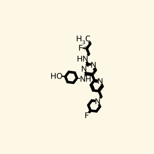 CC[C@H](F)CNc1ncc(-c2ccc(CN3CCC(F)CC3)cn2)c(N[C@H]2CC[C@H](O)CC2)n1